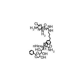 CCCCCCN(C[C@H](O)[C@@H](O)[C@@H]1OC(c2ccccc2)OC[C@H]1O)N(CCC)[C@](CC)(C(N)=O)c1ccc(CCCCNC(=N)NC(=O)c2nc(Cl)c(N)nc2N)cc1